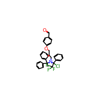 CC(c1ccccc1)(c1ccccc1)N(CCCOc1ccc(C=O)cc1)C(Cl)(c1ccccc1)C(F)(F)F